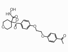 CC(=O)c1ccc(OCCOc2ccc(S(=O)(=O)C3(C(=O)NO)CCOCC3)cc2)cc1